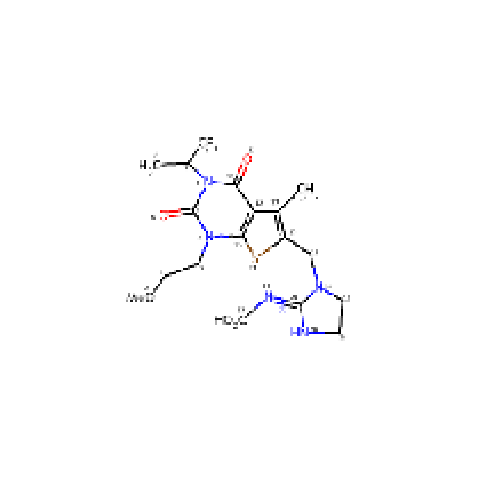 COCCn1c(=O)n(C(C)C(F)(F)F)c(=O)c2c(C)c(CN3CCN/C3=N\C(=O)O)sc21